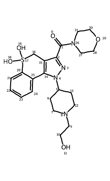 O=C(c1nn(C2CCN(CCO)CC2)c2c1CS(O)(O)c1ccccc1-2)N1CCOCC1